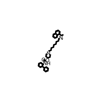 CC(c1cccc2ccccc12)N(C)CCCCCCCCCN1CCC(OC(=O)Nc2ccccc2-c2ccccc2)CC1